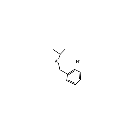 C[CH](C)[Al+][CH2]c1ccccc1.[H-]